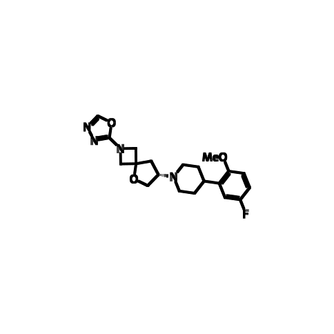 COc1ccc(F)cc1C1CCN([C@@H]2COC3(C2)CN(c2nnco2)C3)CC1